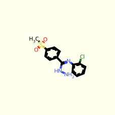 CS(=O)(=O)c1ccc(/C(=N/c2ccccc2Cl)NN)cc1